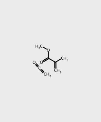 C=C(C)C(=O)OC.C=C=O